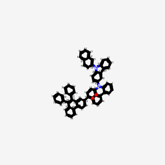 c1ccc(-c2ccccc2N(c2ccc(-c3ccc4c(c3)c(-c3ccccc3)c(-c3ccccc3)c3ccccc34)cc2)c2ccc3c(c2)c2ccccc2n3-c2ccc3ccccc3c2)cc1